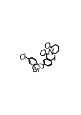 O=C1CCCCN1C(=O)c1cc(Oc2ccc(Cl)cc2Br)ccc1I